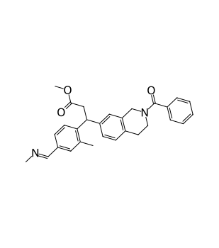 C/N=C/c1ccc(C(CC(=O)OC)c2ccc3c(c2)CN(C(=O)c2ccccc2)CC3)c(C)c1